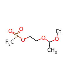 CCOC(C)OCCOS(=O)(=O)C(F)(F)F